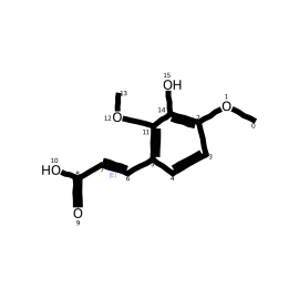 COc1ccc(/C=C/C(=O)O)c(OC)c1O